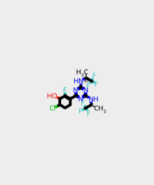 C[C@@H](Nc1nc(N[C@H](C)C(F)(F)F)nc(C2=C(F)C(O)C(Cl)CC2)n1)C(F)(F)F